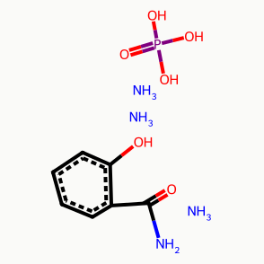 N.N.N.NC(=O)c1ccccc1O.O=P(O)(O)O